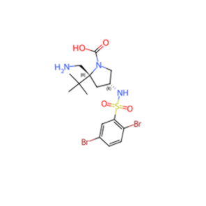 CC(C)(C)[C@@]1(CN)C[C@@H](NS(=O)(=O)c2cc(Br)ccc2Br)CN1C(=O)O